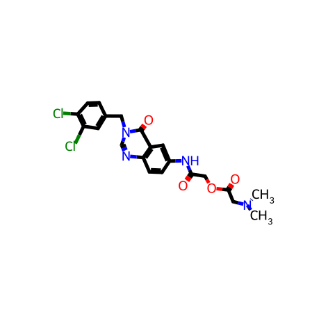 CN(C)CC(=O)OCC(=O)Nc1ccc2ncn(Cc3ccc(Cl)c(Cl)c3)c(=O)c2c1